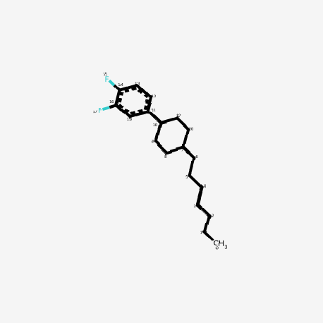 CCCCCCCC1CCC(c2ccc(F)c(F)c2)CC1